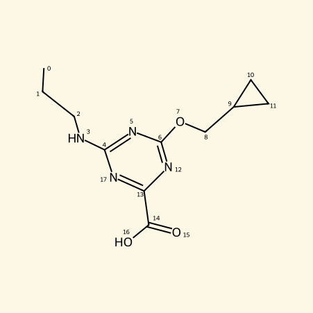 CCCNc1nc(OCC2CC2)nc(C(=O)O)n1